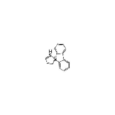 C1=C[Si]2([SiH]=C1)c1ccccc1-c1ccccc12